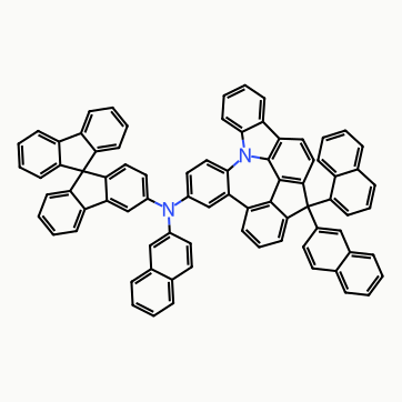 c1ccc2c(c1)-c1ccccc1C21c2ccccc2-c2cc(N(c3ccc4c(c3)-c3cccc5c3-c3c(ccc6c7ccccc7n-4c36)C5(c3ccc4ccccc4c3)c3cccc4ccccc34)c3ccc4ccccc4c3)ccc21